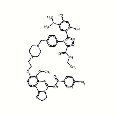 CCNC(=O)c1nnc(-c2cc(C(C)C)c(O)cc2O)n1-c1ccc(CN2CCN(CCOc3ccc4c(c3OC)N=C(NC(=O)c3cnc(N)nc3)N3CCN=C43)CC2)cc1